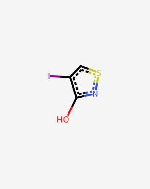 Oc1nscc1I